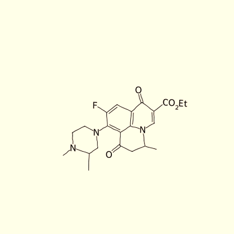 CCOC(=O)c1cn2c3c(c(N4CCN(C)C(C)C4)c(F)cc3c1=O)C(=O)CC2C